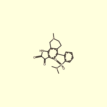 CN1CCc2c(-c3ccccc3S(=O)(=O)N(C)C)cc3c(c2C1)NC(=O)C3=O